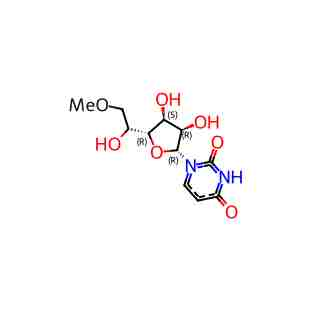 COCC(O)[C@H]1O[C@@H](n2ccc(=O)[nH]c2=O)[C@H](O)[C@@H]1O